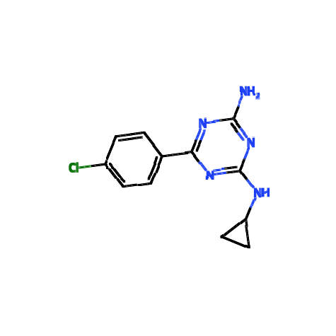 Nc1nc(NC2CC2)nc(-c2ccc(Cl)cc2)n1